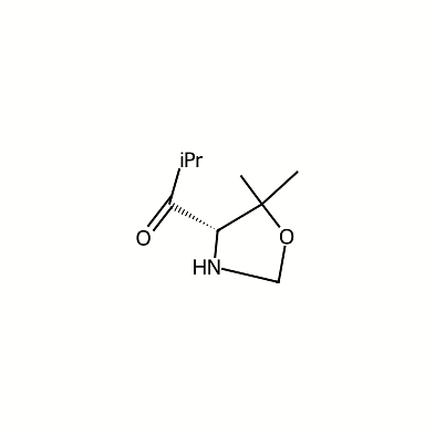 CC(C)C(=O)[C@H]1NCOC1(C)C